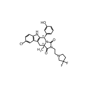 C[C@@]12Cc3c([nH]c4ccc(Cl)cc34)[C@@H](c3cccc(O)c3)N1C(=O)N(CCN1CCC(F)(F)C1)C2=O